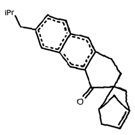 CC(C)Cc1ccc2cc3c(cc2c1)C(=O)C1(CC3)CC2=CCC1C2